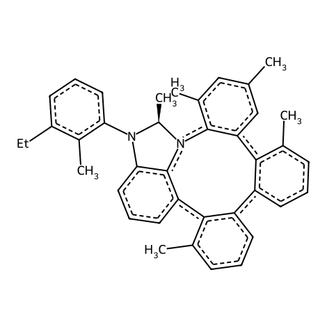 CCc1cccc(N2c3cccc4c5c(C)cccc5c5cccc(C)c5c5cc(C)cc(C)c5n(c34)[C@@H]2C)c1C